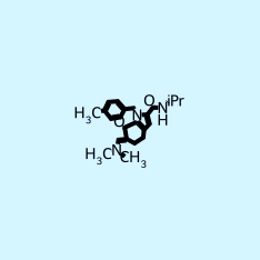 Cc1ccc(Cn2c(C(=O)NC(C)C)cc3c2C(=O)/C(=C/N(C)C)CC3)cc1